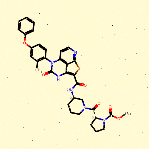 Cc1cc(Oc2ccccc2)ccc1N1C(=O)Nc2c(C(=O)N[C@@H]3CCCN(C(=O)[C@H]4CCCN4C(=O)OC(C)(C)C)C3)sc3nccc1c23